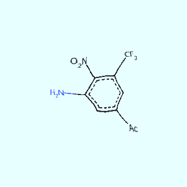 CC(=O)c1cc(N)c([N+](=O)[O-])c(C(F)(F)F)c1